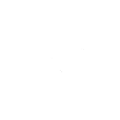 CCN(CC)c1cc(Br)ccn1